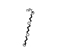 CCCOCCCCOCCCCOCCCC[O]